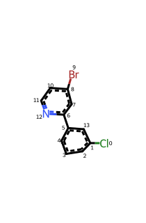 Clc1cc[c]c(-c2cc(Br)ccn2)c1